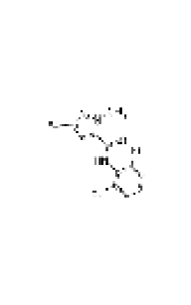 CCc1cccc(CC)c1NC(=O)c1cc(C(C)=O)nn1C